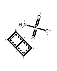 NS(=O)(=O)O.c1cc2ccc1-2